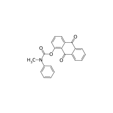 CN(C(=O)Oc1cccc2c1C(=O)c1ccccc1C2=O)c1ccccc1